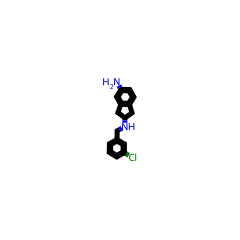 Nc1ccc2c(c1)CC(NCc1cccc(Cl)c1)C2